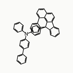 c1ccc(-c2ccc(N(c3ccccc3)c3ccc(C45c6ccccc6-c6ccc7cccc(c7c64)-c4ccccc45)cc3)cc2)cc1